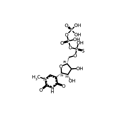 Cn1cc([C@@H]2O[C@H](COP(O)(=S)OP(=O)(O)OP(=O)(O)O)C(O)[C@@H]2O)c(=O)[nH]c1=O